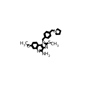 COc1ccc2c(c1)nc(N)c1nc(SC)n(Cc3ccc(CN4CCCC4)cc3)c12